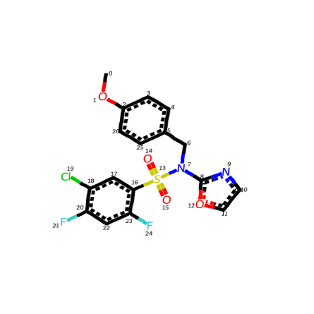 COc1ccc(CN(c2ncco2)S(=O)(=O)c2cc(Cl)c(F)cc2F)cc1